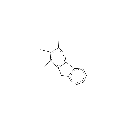 Cc1nc2c(c(C)c1C)Cc1ncccc1-2